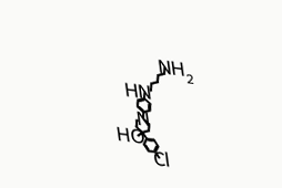 NCCCCCNc1ccc(N2CCC(O)(c3ccc(Cl)cc3)CC2)cc1